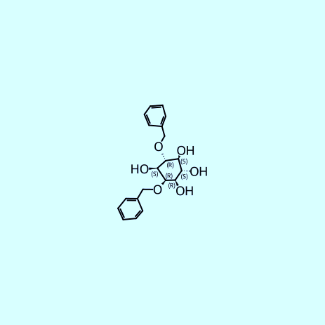 O[C@@H]1[C@@H](O)[C@@H](OCc2ccccc2)[C@@H](O)[C@H](OCc2ccccc2)[C@H]1O